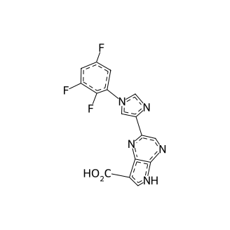 O=C(O)c1c[nH]c2ncc(-c3cn(-c4cc(F)cc(F)c4F)cn3)nc12